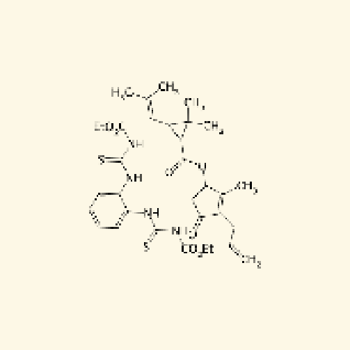 C=CCC1=C(C)C(OC(=O)C2C(C=C(C)C)C2(C)C)CC1=O.CCOC(=O)NC(=S)Nc1ccccc1NC(=S)NC(=O)OCC